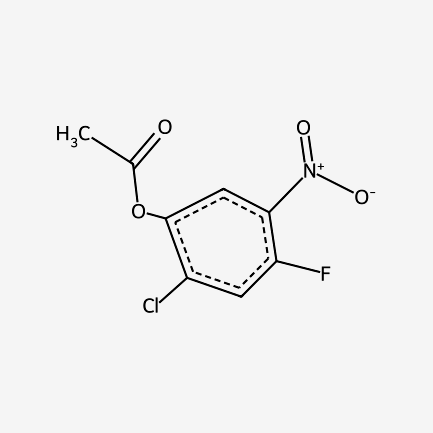 CC(=O)Oc1cc([N+](=O)[O-])c(F)cc1Cl